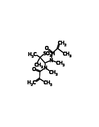 C=C(C)C(=O)N(C)C(N(C)C(=O)C(=C)C)C(C)(C)S(=O)(=O)O